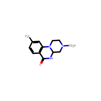 O=C1NC2CN(C(=O)O)CCN2c2cc(C(F)(F)F)ccc21